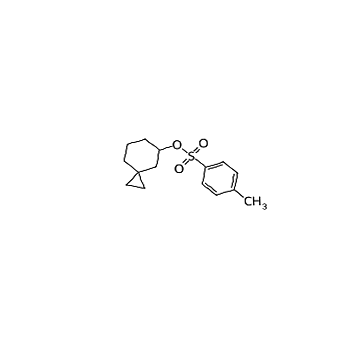 Cc1ccc(S(=O)(=O)OC2CCCC3(CC3)C2)cc1